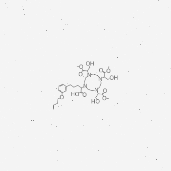 CCCCOc1cccc(CCCC(C(=O)O)N2CCN(C(CO)C(=O)OC)CCN(C(CO)C(=O)OC)CCN(C(CO)C(=O)OC)CC2)c1